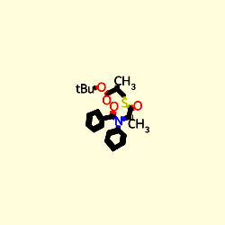 CC(CSC(=O)[C@H](C)N(C(=O)c1ccccc1)c1ccccc1)C(=O)OC(C)(C)C